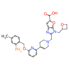 Cc1ccc(COc2cccc(C3=CCN(Cc4nc5cc(C(=O)O)oc5n4CC4CCO4)CC3)n2)c(P)c1